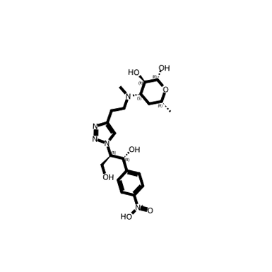 C[C@@H]1C[C@H](N(C)CCc2cn([C@H](CO)[C@H](O)c3ccc([N+](=O)O)cc3)nn2)[C@@H](O)[C@H](O)O1